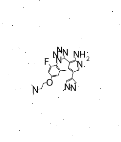 Cc1cc(OCCN(C)C)cc(F)c1-n1nnnc1-c1cc(-c2cnn(C)c2)cnc1N